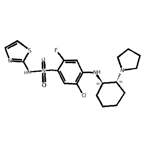 O=S(=O)(Nc1nccs1)c1cc(Cl)c(N[C@@H]2CCCC[C@H]2N2CCCC2)cc1F